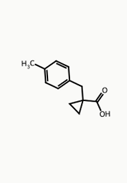 Cc1ccc(CC2(C(=O)O)CC2)cc1